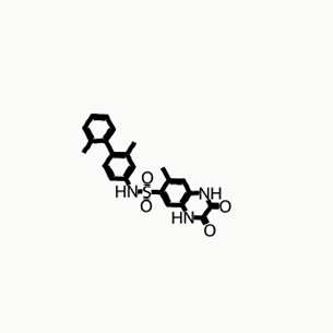 Cc1ccccc1-c1ccc(NS(=O)(=O)c2cc3[nH]c(=O)c(=O)[nH]c3cc2C)cc1C